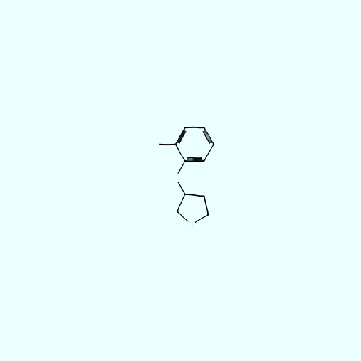 FC(F)(F)c1ccccc1OC1CCNC1